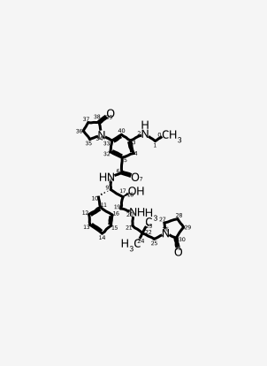 CCNc1cc(C(=O)N[C@@H](Cc2ccccc2)[C@@H](O)CNCC(C)(C)CN2CCCC2=O)cc(N2CCCC2=O)c1